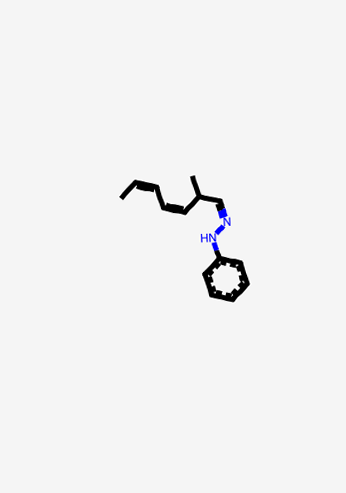 C/C=C\C=C/C(C)/C=N\Nc1ccccc1